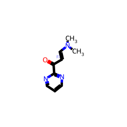 CN(C)/C=C/C(=O)c1ncccn1